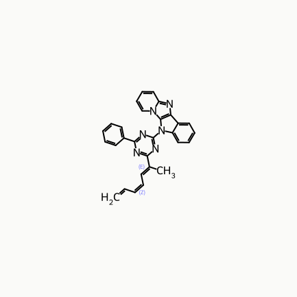 C=C/C=C\C=C(/C)c1nc(-c2ccccc2)nc(-n2c3ccccc3c3nc4ccccn4c32)n1